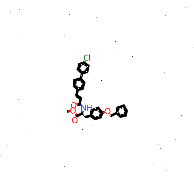 COC(=O)[C@H](Cc1ccc(OCc2ccccc2)cc1)NC(=O)/C=C/c1ccc(-c2ccc(Cl)cc2)cc1